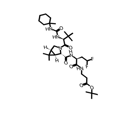 CC1(NC(=O)N[C@H](C(=O)N2C[C@H]3[C@@H]([C@H]2C(=O)N[C@@H](CC(F)F)C(=O)NCCC(=O)OC(C)(C)C)C3(C)C)C(C)(C)C)CCCCC1